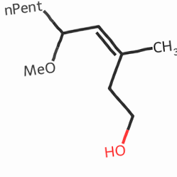 CCCCCC(C=C(C)CCO)OC